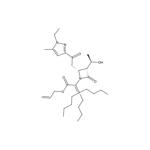 C=CCOC(=O)C(N1C(=O)[C@@H]([C@@H](C)O)[C@H]1CC(=O)c1cc(C)n(CC)n1)=P(CCCC)(CCCC)CCCC